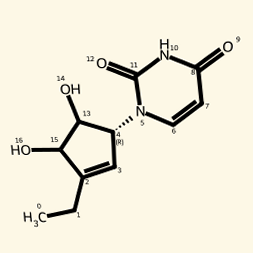 CCC1=C[C@@H](n2ccc(=O)[nH]c2=O)C(O)C1O